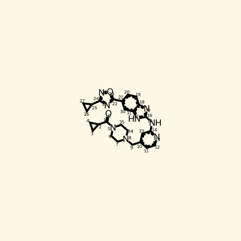 O=C(C1CC1)N1CCN(Cc2ccnc(Nc3nc4ccc(-c5nc(C6CC6)no5)cc4[nH]3)c2)CC1